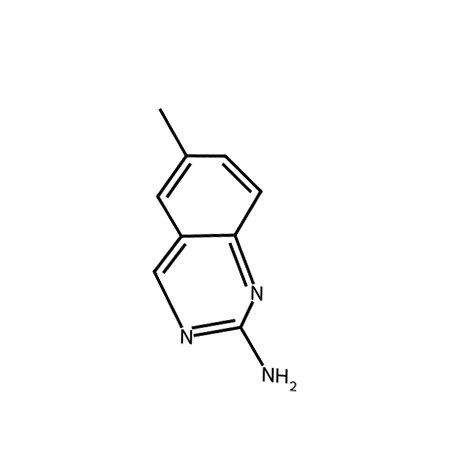 Cc1ccc2nc(N)ncc2c1